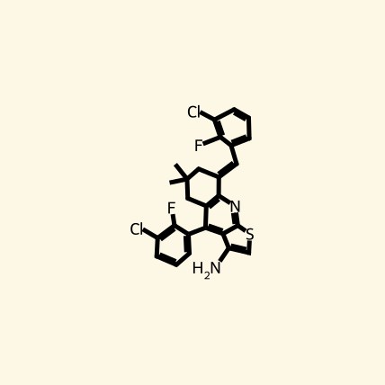 CC1(C)CC(=Cc2cccc(Cl)c2F)c2nc3scc(N)c3c(-c3cccc(Cl)c3F)c2C1